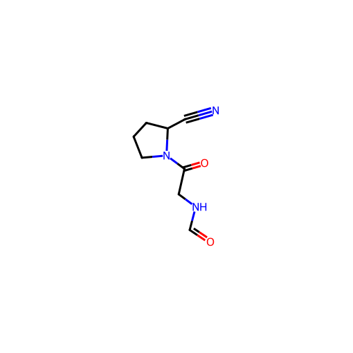 N#CC1CCCN1C(=O)CNC=O